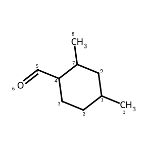 CC1CCC([C]=O)C(C)C1